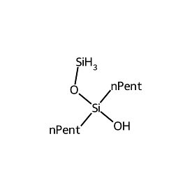 CCCCC[Si](O)(CCCCC)O[SiH3]